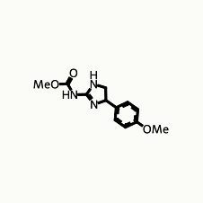 COC(=O)NC1=NC(c2ccc(OC)cc2)CN1